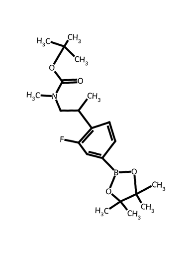 CC(CN(C)C(=O)OC(C)(C)C)c1ccc(B2OC(C)(C)C(C)(C)O2)cc1F